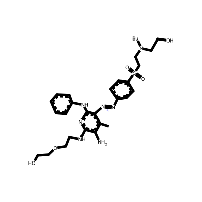 CCC(C)N(CCO)CCS(=O)(=O)c1ccc(/N=N/c2c(Nc3ccccc3)nc(NCCOCCO)c(N)c2C)cc1